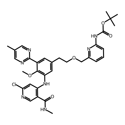 CNC(=O)c1cnc(Cl)cc1Nc1cc(CCOCc2cccc(NC(=O)OC(C)(C)C)n2)cc(-c2ncc(C)cn2)c1OC